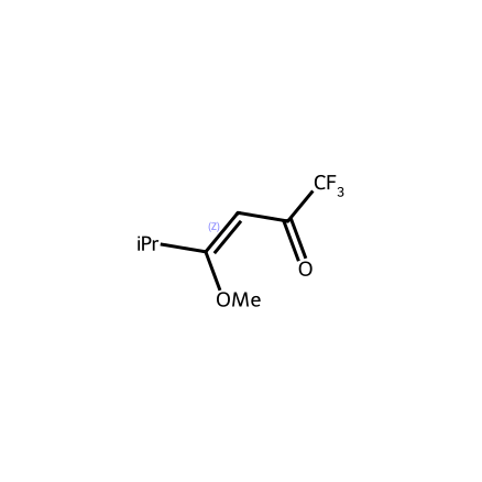 CO/C(=C\C(=O)C(F)(F)F)C(C)C